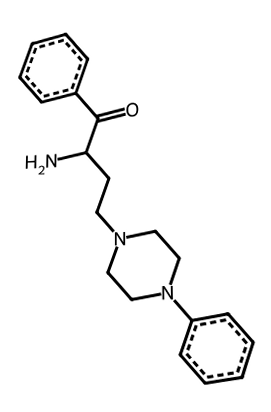 NC(CCN1CCN(c2ccccc2)CC1)C(=O)c1ccccc1